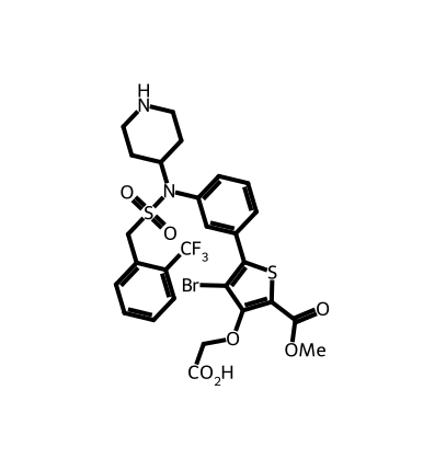 COC(=O)c1sc(-c2cccc(N(C3CCNCC3)S(=O)(=O)Cc3ccccc3C(F)(F)F)c2)c(Br)c1OCC(=O)O